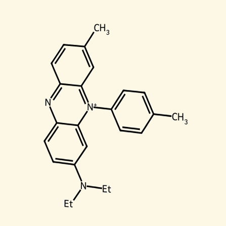 CCN(CC)c1ccc2nc3ccc(C)cc3[n+](-c3ccc(C)cc3)c2c1